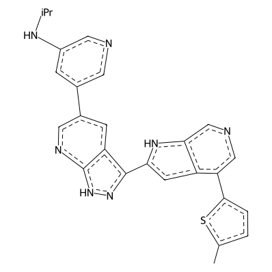 Cc1ccc(-c2cncc3[nH]c(-c4n[nH]c5ncc(-c6cncc(NC(C)C)c6)cc45)cc23)s1